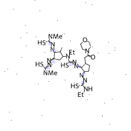 CCN/C(S)=N/N=C1\CCC(CC(=O)N2CCOCC2)\C1=N/N=C(\S)N(CC)C1CC(=N\N=C(/S)NC)/C(=N/N=C(\S)NC)C1C